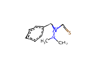 CN(C)N(C=S)Cc1ccccc1